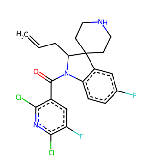 C=CCC1N(C(=O)c2cc(F)c(Cl)nc2Cl)c2ccc(F)cc2C12CCNCC2